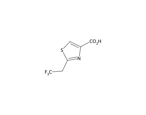 O=C(O)c1csc(CC(F)(F)F)n1